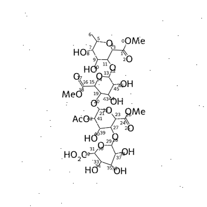 COC(=O)C1OC(C)C(O)C(O)C1OC1OC(C(=O)OC)C(OC2OC(C(=O)OC)C(OC3OC(C(=O)O)C(O)C(O)C3O)C(O)C2OC(C)=O)C(O)C1O